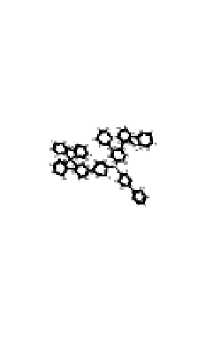 c1ccc(-c2ccc(N(c3ccc(-c4ccc5c(c4)C4(c6ccccc6-c6ccccc64)c4ccccc4-5)cc3)c3ccc(-c4cccc5c4oc4ccccc45)c(-c4ccccc4)c3)cc2)cc1